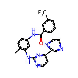 Cc1ccc(NC(=O)c2cccc(C(F)(F)F)c2)cc1Nc1nccc(-c2cnccn2)n1